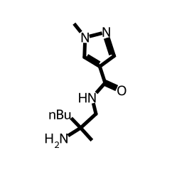 CCCCC(C)(N)CNC(=O)c1cnn(C)c1